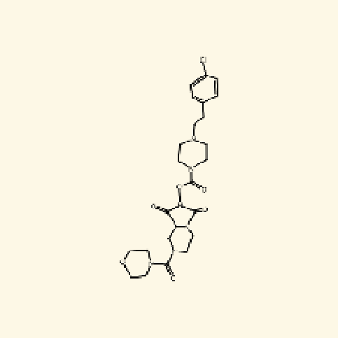 O=C(ON1C(=O)C2CN(C(=O)N3CCOCC3)CCN2C1=O)N1CCN(CCc2ccc(Cl)cc2)CC1